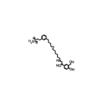 NS(=O)(=O)CCc1cccc(CCCCOCCCCCCNC[C@H](O)c2ccc(O)c(CO)c2)c1